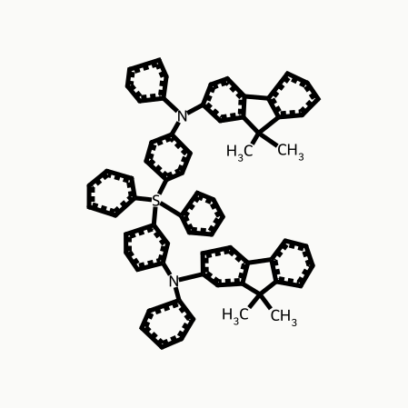 CC1(C)c2ccccc2-c2ccc(N(c3ccccc3)c3ccc(S(c4ccccc4)(c4ccccc4)c4cccc(N(c5ccccc5)c5ccc6c(c5)C(C)(C)c5ccccc5-6)c4)cc3)cc21